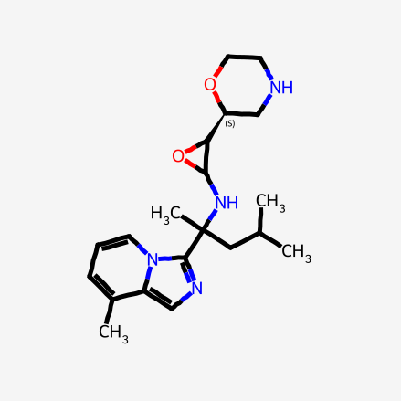 Cc1cccn2c(C(C)(CC(C)C)NC3OC3[C@@H]3CNCCO3)ncc12